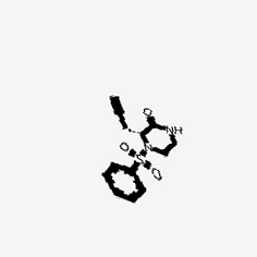 C#CC[C@@H]1C(=O)NCCN1S(=O)(=O)c1ccccc1